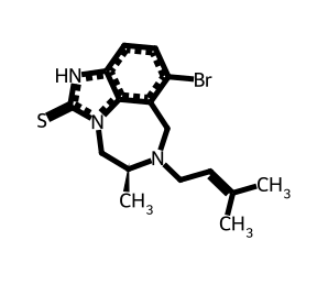 CC(C)=CCN1Cc2c(Br)ccc3[nH]c(=S)n(c23)C[C@@H]1C